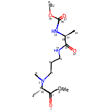 COC(=O)[C@H](C)N(C)CCCNC(=O)[C@H](C)NC(=O)OC(C)(C)C